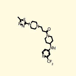 Cc1nnc(N2CCN(CCC(=O)N3CCC(Nc4ccnc(C(F)(F)F)c4)CC3)CC2)s1